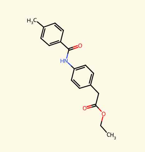 CCOC(=O)Cc1ccc(NC(=O)c2ccc(C)cc2)cc1